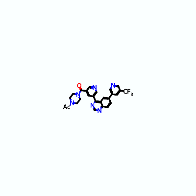 CC(=O)N1CCN(C(=O)c2cncc(-c3ncnc4ccc(-c5cncc(C(F)(F)F)c5)cc34)c2)CC1